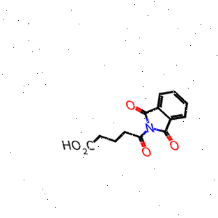 O=C(O)CCCC(=O)N1C(=O)c2ccccc2C1=O